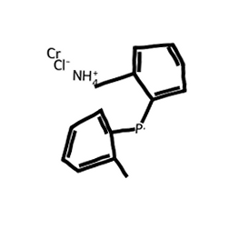 Cc1ccccc1[P]c1ccccc1C.[Cl-].[Cr].[NH4+]